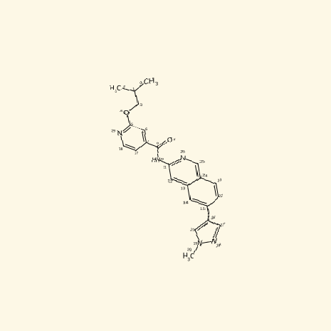 CC(C)COc1cc(C(=O)Nc2cc3cc(-c4cnn(C)c4)ccc3cn2)ccn1